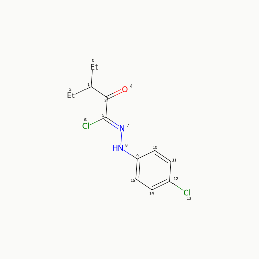 CCC(CC)C(=O)C(Cl)=NNc1ccc(Cl)cc1